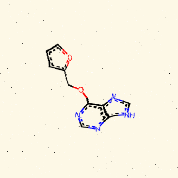 [c]1nc(OCc2ccco2)c2nc[nH]c2n1